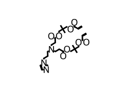 C=CC(=O)OCC(C)(C)COC(=O)CCN(CCCn1ccnc1)CCC(=O)OCC(C)(C)COC(=O)C=C